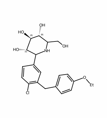 CCOc1ccc(Cc2cc(C3NC(CO)[C@@H](O)[C@H](O)[C@H]3O)ccc2Cl)cc1